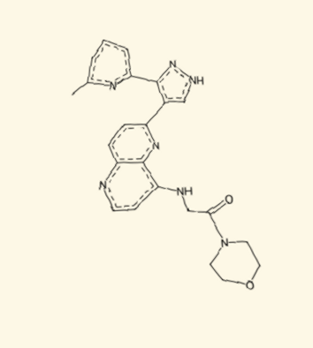 Cc1cccc(-c2n[nH]cc2-c2ccc3nccc(NCC(=O)N4CCOCC4)c3n2)n1